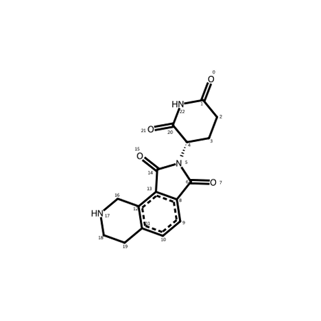 O=C1CC[C@H](N2C(=O)c3ccc4c(c3C2=O)CNCC4)C(=O)N1